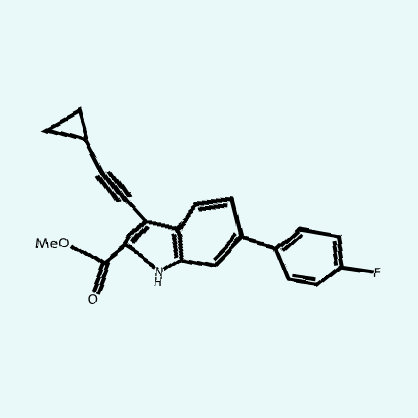 COC(=O)c1[nH]c2cc(-c3ccc(F)cc3)ccc2c1C#CC1CC1